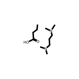 CCCC(=O)O.CN(C)CCCN(C)C